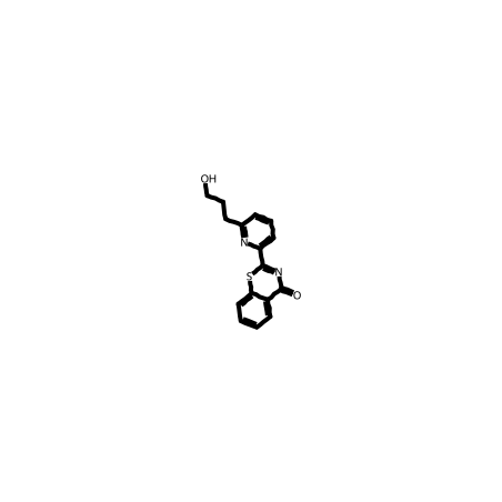 O=c1nc(-c2cccc(CCCO)n2)sc2ccccc12